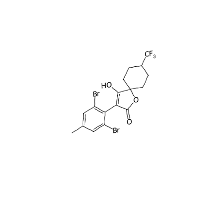 Cc1cc(Br)c(C2=C(O)C3(CCC(C(F)(F)F)CC3)OC2=O)c(Br)c1